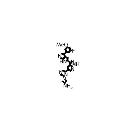 COc1cc(F)cc(-c2cncc3[nH]c(-c4n[nH]c5ncc(-c6cncc(N7CC(N)C7)n6)cc45)cc23)c1